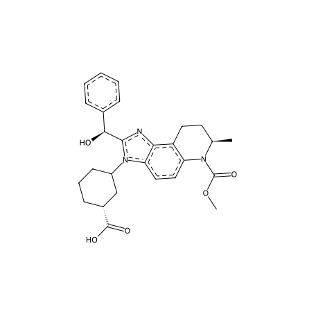 COC(=O)N1c2ccc3c(nc([C@@H](O)c4ccccc4)n3C3CCC[C@@H](C(=O)O)C3)c2CC[C@H]1C